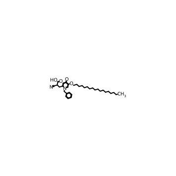 CCCCCCCCCCCCCCCCCCOc1cn(Cc2ccccc2)c(CC(C#N)C(=O)O)cc1=O